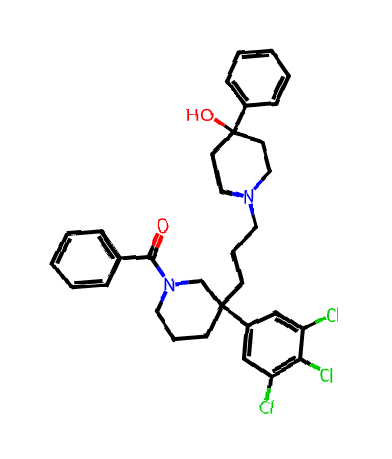 O=C(c1ccccc1)N1CCCC(CCCN2CCC(O)(c3ccccc3)CC2)(c2cc(Cl)c(Cl)c(Cl)c2)C1